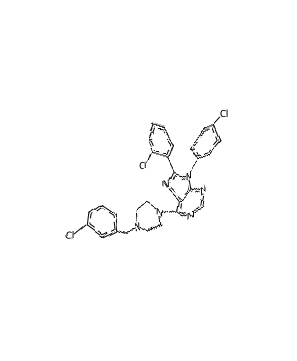 Clc1ccc(-n2c(-c3ccccc3Cl)nc3c(N4CCN(Cc5cccc(Cl)c5)CC4)ncnc32)cc1